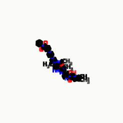 C=CC(=O)Nc1cc(Nc2nc(-c3ccnc(N4CCn5c(cc6c5CC(C)(C)C6)C4=O)c3CO)cn(C)c2=O)ccc1N1CCN(C2CCN(c3ccc4c(c3)C(=O)N(C3CCCCC3)C4=O)CC2)C[C@@H]1C